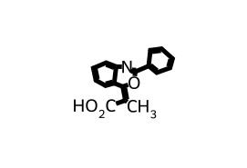 C/C(C(=O)O)=C1\OC(c2ccccc2)=Nc2ccccc21